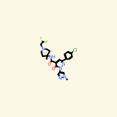 Cn1cc(-n2nc(-c3ccc(Cl)cc3)cc(C(=O)NC3(C)CCN(CC(F)F)CC3)c2=O)cn1